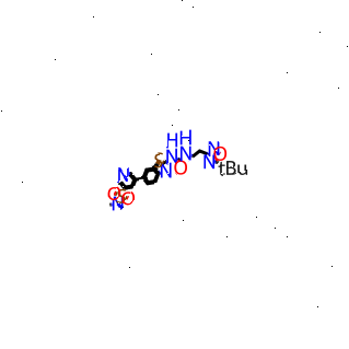 CN(C)S(=O)(=O)c1cncc(-c2ccc3nc(NC(=O)NCCc4noc(C(C)(C)C)n4)sc3c2)c1